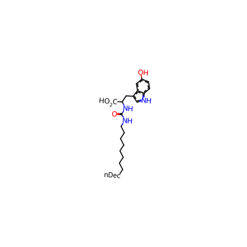 CCCCCCCCCCCCCCCCCCNC(=O)NC(Cc1c[nH]c2ccc(O)cc12)C(=O)O